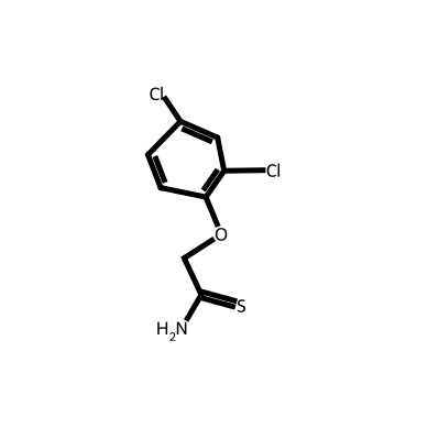 NC(=S)COc1ccc(Cl)cc1Cl